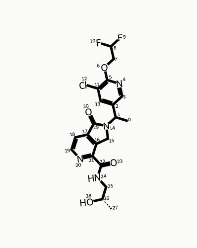 CC(c1cnc(OCC(F)F)c(Cl)c1)N1Cc2c(ccnc2C(=O)NC[C@H](C)O)C1=O